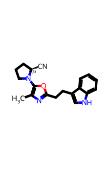 Cc1nc(CCc2c[nH]c3ccccc23)oc1N1CCC[C@H]1C#N